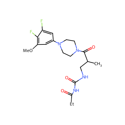 CCC(=O)NC(=O)NCC(C)C(=O)N1CCN(c2cc(F)c(F)c(OC)c2)CC1